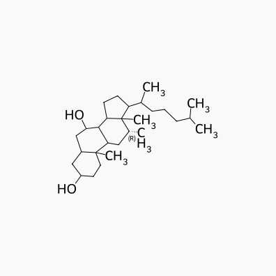 CC(C)CCCC(C)C1CCC2C3C(O)CC4CC(O)CCC4(C)C3C[C@@H](C)C12C